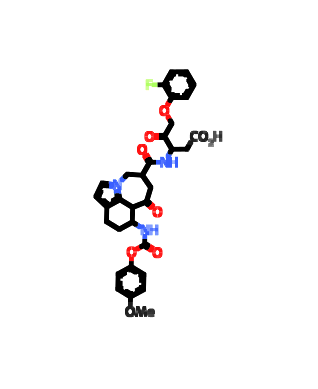 COc1ccc(OC(=O)NC2CCc3ccn4c3C2C(=O)CC(C(=O)NC(CC(=O)O)C(=O)COc2ccccc2F)C4)cc1